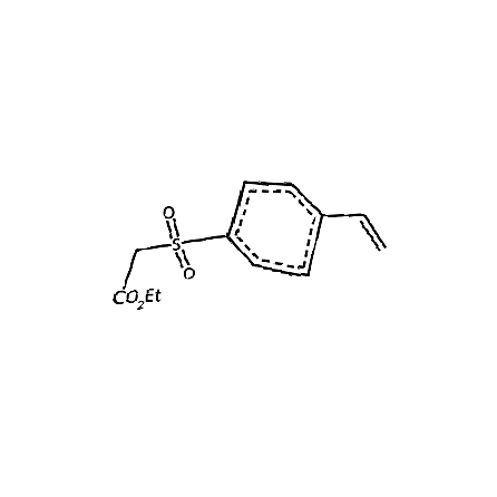 C=Cc1ccc(S(=O)(=O)CC(=O)OCC)cc1